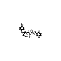 O=C(NCC1CN(Cc2ccc(F)cc2)CCO1)OCc1ccccc1